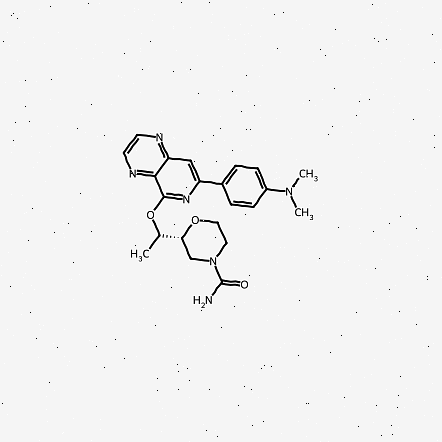 CC(Oc1nc(-c2ccc(N(C)C)cc2)cc2nccnc12)[C@H]1CN(C(N)=O)CCO1